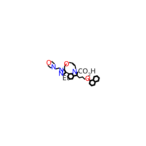 CCc1nn(CCN2CCOCC2)c2c1-c1cccc3c(CCCOc4cccc5ccccc45)c(C(=O)O)n(c13)C/C=C\COC2